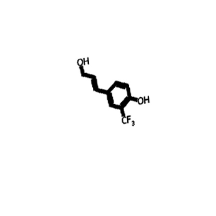 OCC=Cc1ccc(O)c(C(F)(F)F)c1